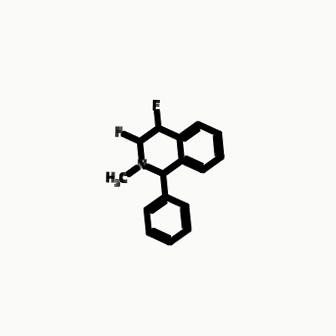 CN1C(c2ccccc2)c2ccccc2C(F)C1F